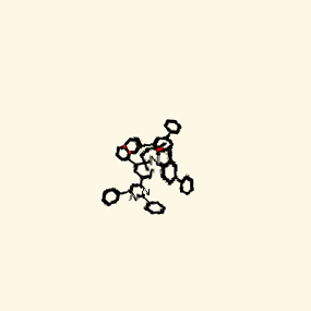 C=C/C=C\C(C)(/C(=C\C(=C/C)c1cc(-c2ccccc2)nc(-c2ccccc2)n1)c1ccccc1)n1c2ccc(-c3ccccc3)cc2c2cc(-c3ccccc3)cc(-c3ccccc3)c21